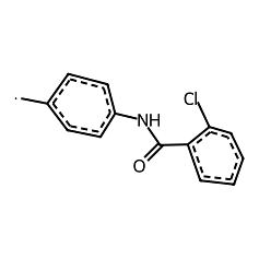 [CH2]c1ccc(NC(=O)c2ccccc2Cl)cc1